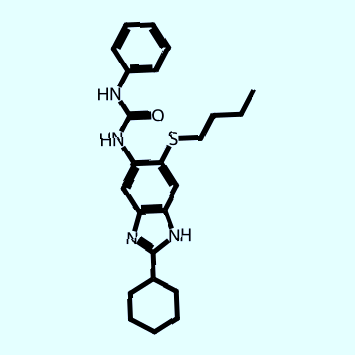 CCCCSc1cc2[nH]c(C3CCCCC3)nc2cc1NC(=O)Nc1ccccc1